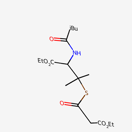 CCOC(=O)CC(=O)SC(C)(C)C(NC(=O)C(C)CC)C(=O)OCC